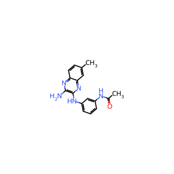 CC(=O)Nc1cccc(Nc2nc3cc(C)ccc3nc2N)c1